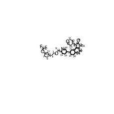 C[C@@H](OCCN1CC[C@H](OC(F)F)C1)c1ccc(-c2ccc3nnc4c(c3c2)n(C2CCOCC2)c(=O)n4C)cn1